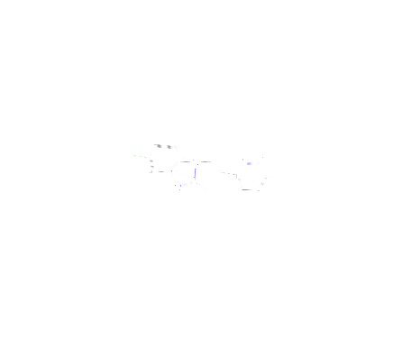 Clc1ccc2c(c1)nc1n2CC(c2ccccn2)[SH]1